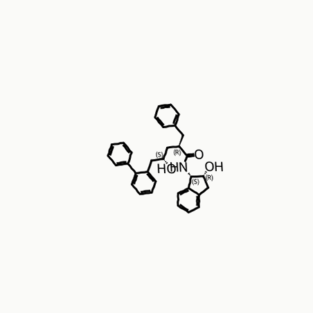 O=C(N[C@H]1c2ccccc2C[C@H]1O)[C@H](Cc1ccccc1)C[C@H](O)Cc1ccccc1-c1ccccc1